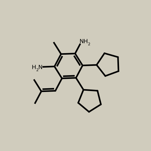 CC(C)=Cc1c(N)c(C)c(N)c(C2CCCC2)c1C1CCCC1